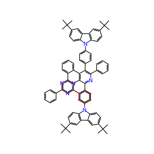 CC(C)(C)c1ccc2c(c1)c1cc(C(C)(C)C)ccc1n2-c1ccc(-c2nc(-c3ccccc3)c(-c3ccc(-n4c5ccc(C(C)(C)C)cc5c5cc(C(C)(C)C)ccc54)cc3)c(-c3ccccc3-c3nc(-c4ccccc4)nc(-c4ccccc4)n3)c2-c2ccccc2)cc1